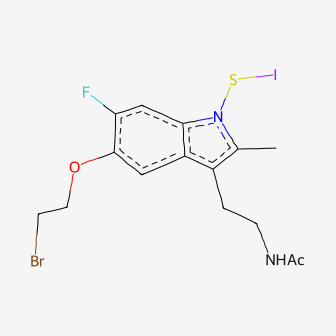 CC(=O)NCCc1c(C)n(SI)c2cc(F)c(OCCBr)cc12